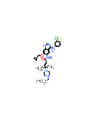 CCOC(=O)CN1CCN(C(C)(C)C=CC(=O)Nc2cc3c(Nc4ccc(F)c(Cl)c4)ncnc3cc2OCC2CC2)CC1